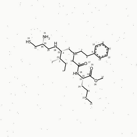 CC[C@H](C)[C@@H](CN(CCc1ccccc1)CC(=O)N[C@@H](CCSC)C(=O)OC)NC[C@@H](N)CS